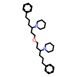 c1ccc(CCCC(CCOCCC(CCCc2ccccc2)N2CCCCC2)N2CCCCC2)cc1